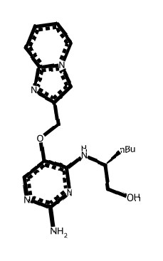 CCCC[C@@H](CO)Nc1nc(N)ncc1OCc1cn2ccccc2n1